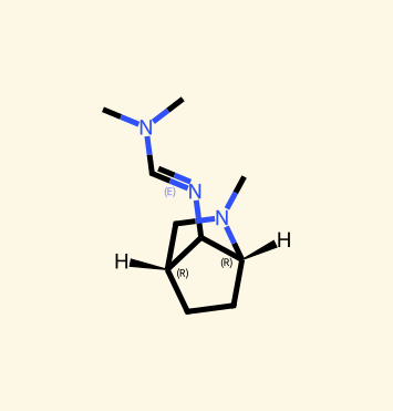 CN(C)/C=N/C1[C@@H]2CC[C@H]1N(C)C2